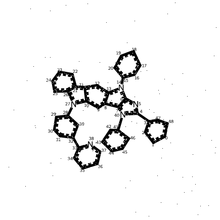 c1ccc(-c2nc3c(c4cc5c(cc4n3-c3ccccc3)c3ccccc3n5-c3cccc(-c4ccccn4)c3)n2-c2ccccc2)cc1